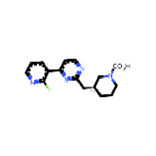 O=C(O)N1CCC[C@@H](Cc2nccc(-c3cccnc3F)n2)C1